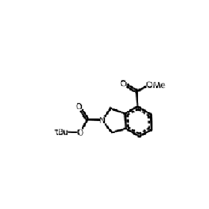 COC(=O)c1cccc2c1CN(C(=O)OC(C)(C)C)C2